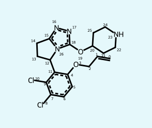 C=CCOc1ccc(Cl)c(Cl)c1C1CCc2nnc(OC3CCNCC3)n21